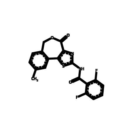 Cc1ccc2c(c1)-c1sc(NC(=O)c3c(F)cccc3F)nc1C(=O)OC2